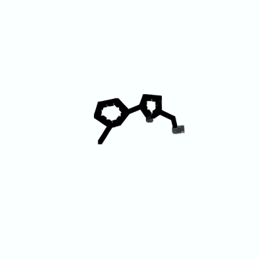 Cc1cccc(-c2ccc(CO)o2)c1